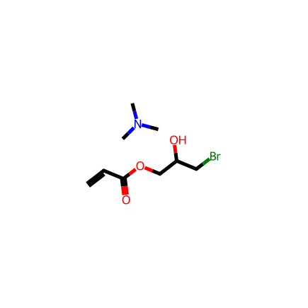 C=CC(=O)OCC(O)CBr.CN(C)C